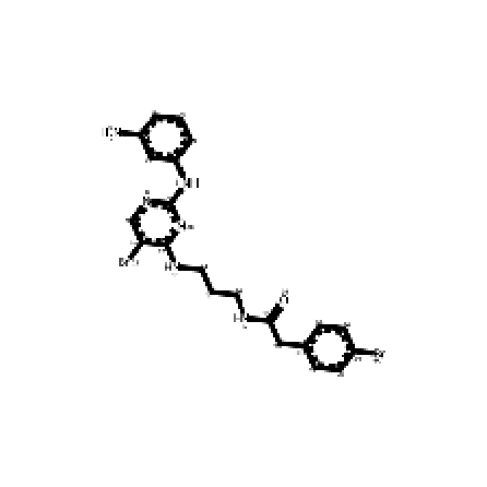 Nc1cccc(Nc2ncc(Br)c(NCCCNC(=O)Cc3ccc(Br)cc3)n2)c1